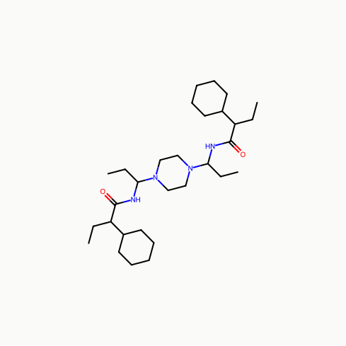 CCC(C(=O)NC(CC)N1CCN(C(CC)NC(=O)C(CC)C2CCCCC2)CC1)C1CCCCC1